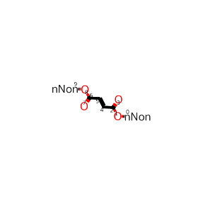 CCCCCCCCCOC(=O)/C=C/C(=O)OCCCCCCCCC